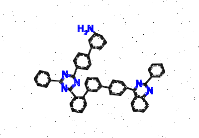 Nc1cccc(-c2ccc(-c3nc(-c4ccccc4)nc(-c4ccccc4-c4cccc(-c5ccc(-c6nc(-c7ccccc7)nc7ccccc67)cc5)c4)n3)cc2)c1